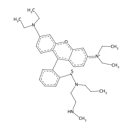 CCCN(CCNC)C(=S)c1ccccc1-c1c2ccc(=[N+](CC)CC)cc-2oc2cc(N(CC)CC)ccc12